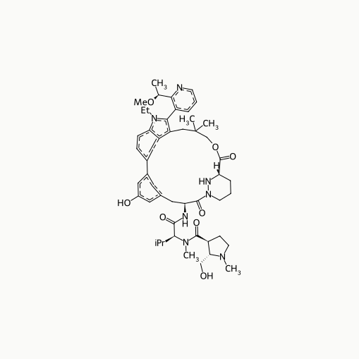 CCn1c(-c2cccnc2[C@H](C)OC)c2c3cc(ccc31)-c1cc(O)cc(c1)C[C@H](NC(=O)[C@H](C(C)C)N(C)C(=O)[C@H]1CCN(C)[C@@H]1CO)C(=O)N1CCC[C@H](N1)C(=O)OCC(C)(C)C2